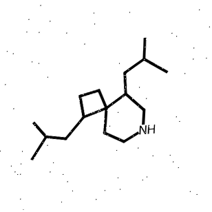 CC(C)CC1CCC12CCNCC2CC(C)C